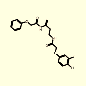 C=C(CCNC(=O)COc1ccc(Cl)c(F)c1)NC(=O)COc1ccccc1